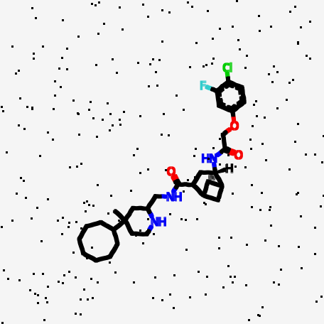 CC1(C2CCCCCCC2)CCNC(CNC(=O)C2C[C@H](NC(=O)COc3ccc(Cl)c(F)c3)C3CC2C3)C1